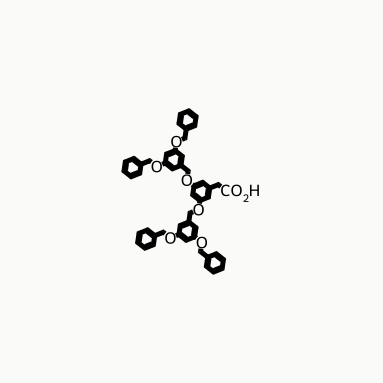 O=C(O)Cc1cc(OCc2cc(OCc3ccccc3)cc(OCc3ccccc3)c2)cc(OCc2cc(OCc3ccccc3)cc(OCc3ccccc3)c2)c1